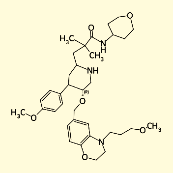 COCCCN1CCOc2ccc(CO[C@H]3CNC(CC(C)(C)C(=O)NC4CCOCC4)CC3c3ccc(OC)cc3)cc21